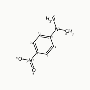 CN(N)c1ccc([N+](=O)[O-])cc1